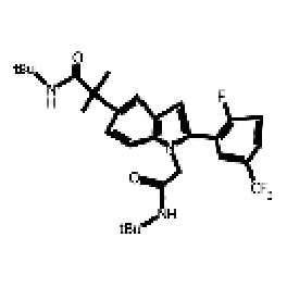 CC(C)(C)NC(=O)Cn1c(-c2cc(C(F)(F)F)ccc2F)cc2cc(C(C)(C)C(=O)NC(C)(C)C)ccc21